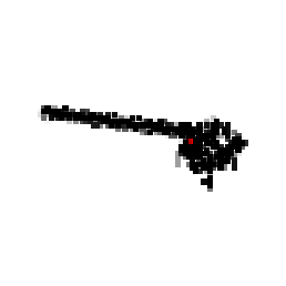 CCC(=O)OCc1ccc(NC(=O)[C@H](C)NC(=O)[C@@H](NC(=O)C(CC2=CC=C=C(OCCOCCOCCOCCOCCOCCOCCOCCOCCOCCOCCOC)C=C2)N2C(=O)C=CC2=O)C(C)C)cc1CC[C@@H]1O[C@H](C(=O)O)[C@@H](O)C[C@H]1O